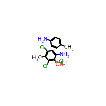 Cc1c(Cl)cc(N)c(O)c1Cl.Cc1ccc(N)cc1.Cl.Cl